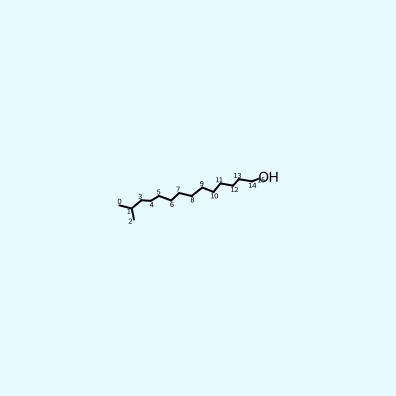 CC(C)CCCCCCCCCCCCO